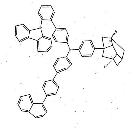 c1ccc(-n2c3ccccc3c3ccccc32)c(-c2ccc(N(c3ccc(-c4ccc(-c5cccc6ccccc56)cc4)cc3)c3ccc(C45C[C@@H]6CC7C[C@@H](C4)C5C76)cc3)cc2)c1